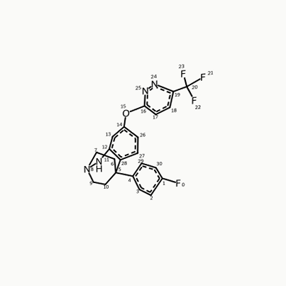 Fc1ccc(C23CCN(CC2)Nc2cc(Oc4ccc(C(F)(F)F)nn4)ccc23)cc1